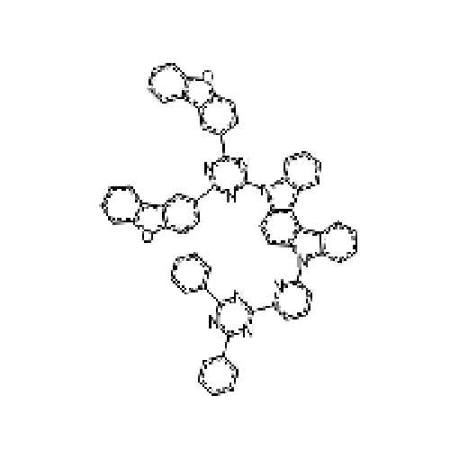 c1ccc(-c2nc(-c3ccccc3)nc(-c3cccc(-n4c5ccccc5c5c6c7ccccc7n(-c7nc(-c8ccc9oc%10ccccc%10c9c8)nc(-c8ccc9oc%10ccccc%10c9c8)n7)c6ccc54)n3)n2)cc1